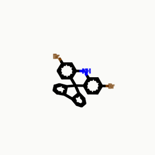 Brc1ccc2c(c1)Nc1cc(Br)ccc1C21c2ccccc2-c2ccccc21